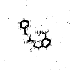 C[C@H](N)c1cccc(C[C@H](C)NC(=O)OCc2ccccc2)c1